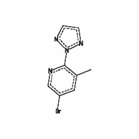 Cc1cc(Br)cnc1-n1nccn1